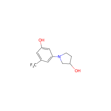 Oc1cc(N2CCC(O)C2)cc(C(F)(F)F)c1